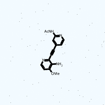 COc1ccnc(C#Cc2ccnc(NC(C)=O)c2)c1N